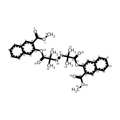 COC(=O)c1cc2ccccc2cc1OC(=O)C(C)(C)N=NC(C)(C)C(=O)Oc1cc2ccccc2cc1C(=O)OC